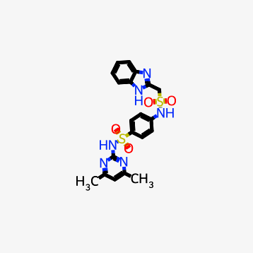 Cc1cc(C)nc(NS(=O)(=O)c2ccc(NS(=O)(=O)Cc3nc4ccccc4[nH]3)cc2)n1